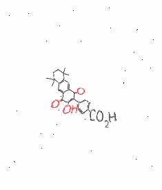 CC1(C)CCC(C)(C)c2cc3c(cc21)C(=O)C(O)=C(c1ccc(C(=O)O)cc1)C3=O